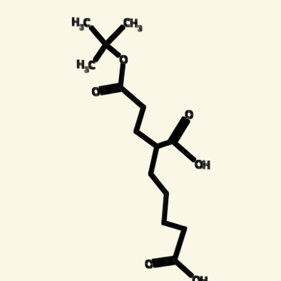 CC(C)(C)OC(=O)CCC(CCCCC(=O)O)C(=O)O